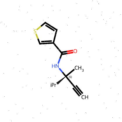 C#C[C@@](C)(NC(=O)c1ccsc1)C(C)C